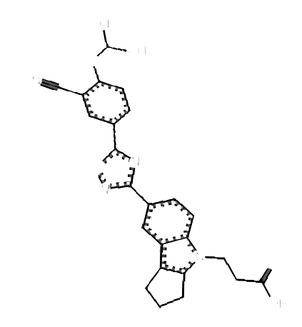 CC(C)Oc1ccc(-c2nc(-c3ccc4c(c3)c3c(n4CCC(=O)O)CCC3)no2)cc1C#N